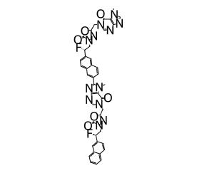 Cn1cnc2ncn(Cc3nn(C[C@@H](F)c4ccc5cc(-c6nc7ncn(Cc8nn(C[C@H](F)c9ccc%10ccccc%10c9)c(=O)o8)c(=O)c7n6C)ccc5c4)c(=O)o3)c(=O)c21